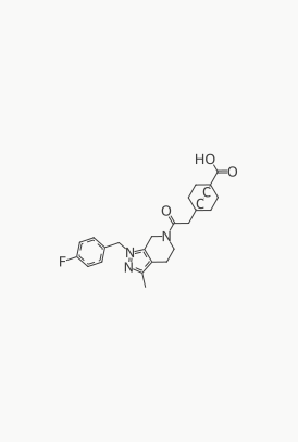 Cc1nn(Cc2ccc(F)cc2)c2c1CCN(C(=O)CC13CCC(C(=O)O)(CC1)CC3)C2